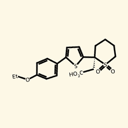 CCOc1ccc(-c2ccc([C@@]3(CC(=O)O)CCCCS3(=O)=O)s2)cc1